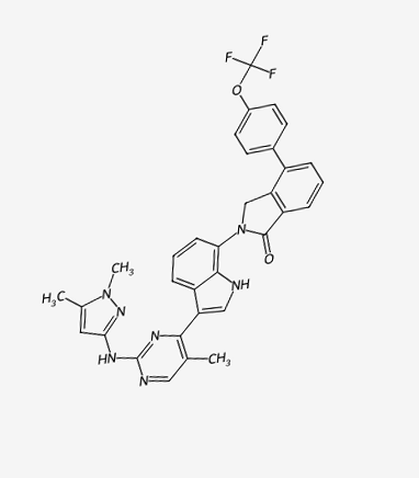 Cc1cnc(Nc2cc(C)n(C)n2)nc1-c1c[nH]c2c(N3Cc4c(cccc4-c4ccc(OC(F)(F)F)cc4)C3=O)cccc12